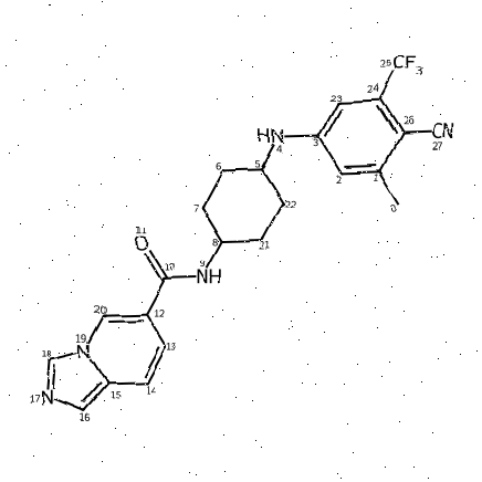 Cc1cc(NC2CCC(NC(=O)c3ccc4cncn4c3)CC2)cc(C(F)(F)F)c1C#N